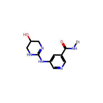 CCNC(=O)c1cncc(NC2=NCC(O)CN2)c1